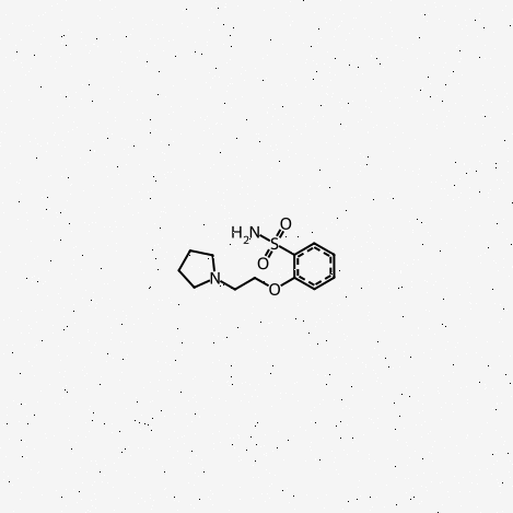 NS(=O)(=O)c1ccccc1OCCN1CCCC1